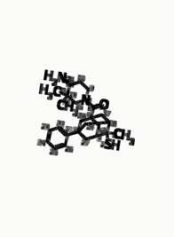 CC1(S)C2CC3(C(=O)N4CC[C@H](N)C(C)(C)C4)CC1CC(c1ccccc1)(C2)C3